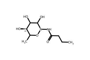 CCCC(=O)NN1OC(C)[C@@H](O)C(O)C1O